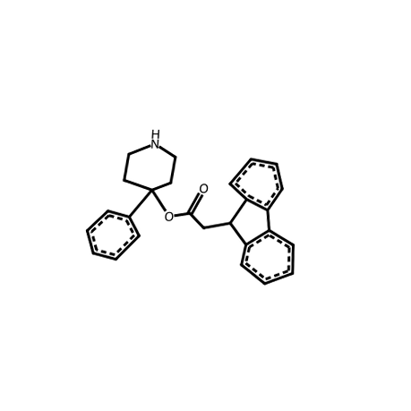 O=C(CC1c2ccccc2-c2ccccc21)OC1(c2ccccc2)CCNCC1